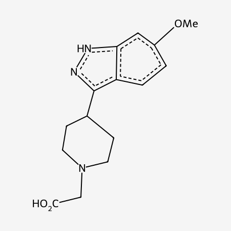 COc1ccc2c(C3CCN(CC(=O)O)CC3)n[nH]c2c1